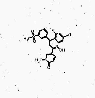 Cn1cc(/C(CC(c2cccc(S(C)(=O)=O)c2)c2ccc(Cl)cc2F)=N\O)ccc1=O